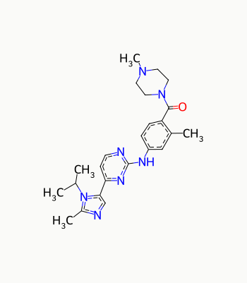 Cc1cc(Nc2nccc(-c3cnc(C)n3C(C)C)n2)ccc1C(=O)N1CCN(C)CC1